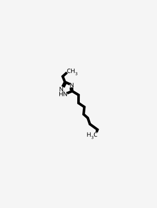 CCCCCCCCc1nc(CC)n[nH]1